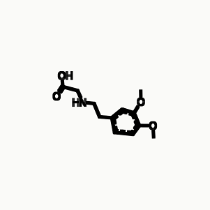 COc1ccc(CCNCC(=O)O)cc1OC